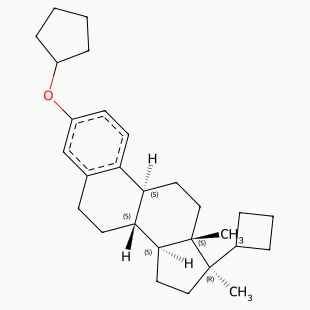 C[C@]12CC[C@@H]3c4ccc(OC5CCCC5)cc4CC[C@H]3[C@@H]1CC[C@]2(C)C1CCC1